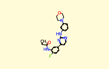 C=CC(=O)Nc1cc(-c2ccnc(Nc3cccc(N4CCOCC4)c3)n2)ccc1F